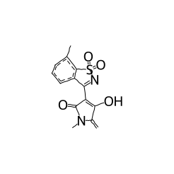 C=C1C(O)=C(C2=NS(=O)(=O)c3c(C)cccc32)C(=O)N1C